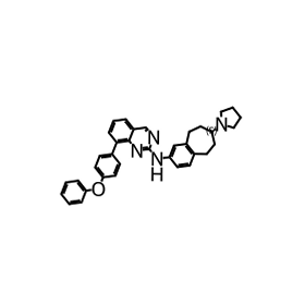 c1ccc(Oc2ccc(-c3cccc4cnc(Nc5ccc6c(c5)CC[C@@H](N5CCCC5)CC6)nc34)cc2)cc1